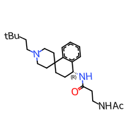 CC(=O)NCCC(=O)N[C@@H]1CCC2(CCN(CCC(C)(C)C)CC2)c2ccccc21